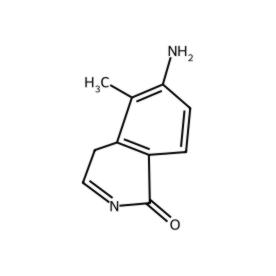 Cc1c(N)ccc2c1CC=NC2=O